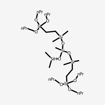 CCCO[Si](CC[Si](C)(C)O[Si](C)(O[SiH](C)C)O[Si](C)(C)CC[Si](OCCC)(OCCC)OCCC)(OCCC)OCCC